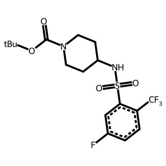 CC(C)(C)OC(=O)N1CCC(NS(=O)(=O)c2cc(F)ccc2C(F)(F)F)CC1